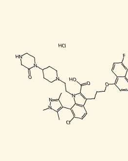 Cc1nn(C)c(C)c1-c1c(Cl)ccc2c(CCCOc3cccc4cc(F)ccc34)c(C(=O)O)n(CCN3CCC(N4CCNCC4=O)CC3)c12.Cl